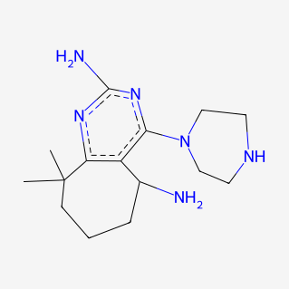 CC1(C)CCCC(N)c2c(N3CCNCC3)nc(N)nc21